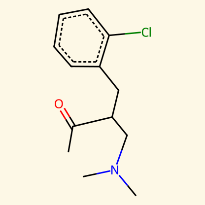 CC(=O)C(Cc1ccccc1Cl)CN(C)C